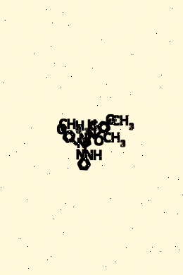 COc1ccc(Cn2nc(NC(=O)c3c(C)cc(OC)cc3C)cc2-c2nc3ccccc3[nH]2)cc1